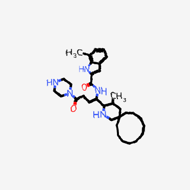 Cc1cccc2cc(C(=O)NC(CCC(=O)N3CCNCC3)C3NCC4(CCCCCCCCCC4)CC3C)[nH]c12